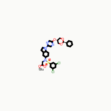 CC(C)(C)OC(=O)CN(c1ccc2c(ccn2-c2cnc(O[C@H]3CO[C@H](c4ccccc4)OC3)cn2)c1)S(=O)(=O)c1cc(Cl)cc(Cl)c1